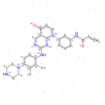 C=CC(=O)Nc1cccc(-n2ccc(=O)c3cnc(Nc4ccc(N5CCNCC5)c(F)c4F)nc32)c1